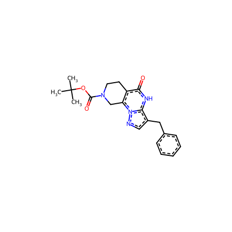 CC(C)(C)OC(=O)N1CCc2c(n3ncc(Cc4ccccc4)c3[nH]c2=O)C1